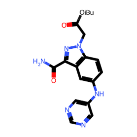 CC(C)COC(=O)Cn1nc(C(N)=O)c2cc(Nc3cncnc3)ccc21